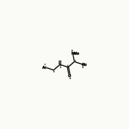 CCC(C)C(NC)C(=O)NCC(C)=O